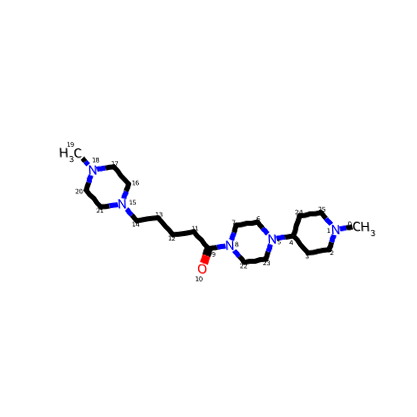 CN1CCC(N2CCN(C(=O)CCCCN3CCN(C)CC3)CC2)CC1